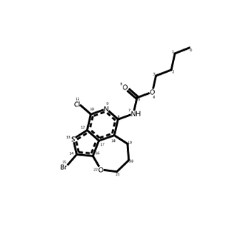 CCCCOC(=O)Nc1nc(Cl)c2sc(Br)c3c2c1CCCO3